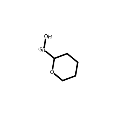 [OH][Sn][CH]1CCCCO1